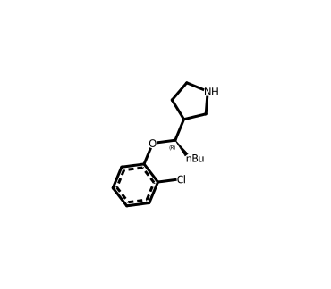 CCCC[C@@H](Oc1ccccc1Cl)C1CCNC1